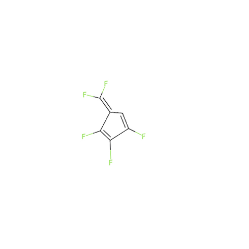 FC1=CC(=C(F)F)C(F)=C1F